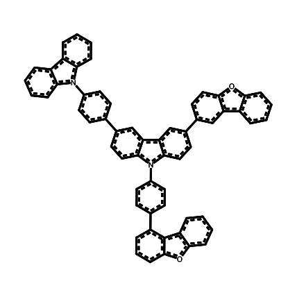 c1ccc2c(c1)oc1ccc(-c3ccc4c(c3)c3cc(-c5ccc(-n6c7ccccc7c7ccccc76)cc5)ccc3n4-c3ccc(-c4cccc5oc6ccccc6c45)cc3)cc12